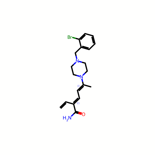 C=C/C(=C\C=C(/C)N1CCN(Cc2ccccc2Br)CC1)C(N)=O